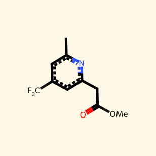 COC(=O)Cc1cc(C(F)(F)F)cc(C)n1